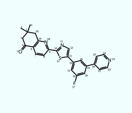 CC1(C)CC(=O)c2ccc(-c3ncc(-c4cc(F)cc(-c5ccncc5)c4)s3)nc2C1